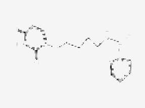 CC[C@@H](NCCCCCn1ccc(=O)[nH]c1=O)c1ccccc1